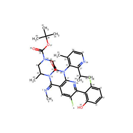 C/N=C(\c1cc(F)c(-c2c(O)cccc2F)nc1N(C=O)c1c(C)ccnc1C(C)C)N1CCN(C(=O)OC(C)(C)C)CC1C